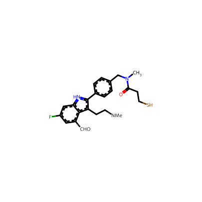 CNCCc1c(-c2ccc(CN(C)C(=O)CCS)cc2)[nH]c2cc(F)cc(C=O)c12